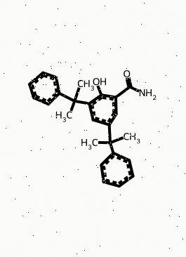 CC(C)(c1ccccc1)c1cc(C(N)=O)c(O)c(C(C)(C)c2ccccc2)c1